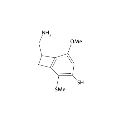 COc1cc(S)c(SC)c2c1C(CN)C2